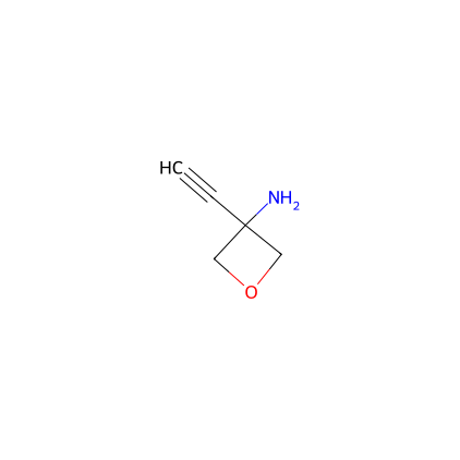 C#CC1(N)COC1